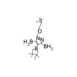 Bc1nn(COCCS(C)(C)C)c(B)c1B1CC(C)(C)C(C)(C)C1